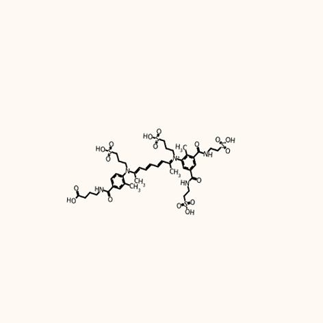 C\C(=C/C=C/C=C/C(C)=[N+](\CCCS(=O)(=O)O)c1cc(C(=O)NCCS(=O)(=O)O)cc(C(=O)NCCS(=O)(=O)O)c1C)N(CCCS(=O)(=O)O)c1ccc(C(=O)NCCCC(=O)O)cc1C